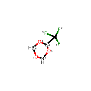 FC(F)(F)B1OBOBO1